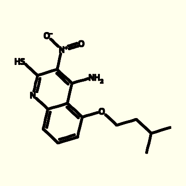 CC(C)CCOc1cccc2nc(S)c([N+](=O)[O-])c(N)c12